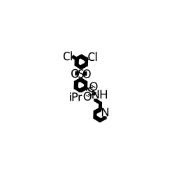 CC(C)c1ccc(S(=O)(=O)c2cc(Cl)cc(Cl)c2)cc1S(=O)(=O)NCCc1ccccn1